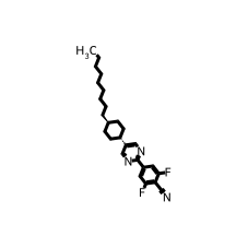 CCCCCCCCC[C@H]1CC[C@H](c2cnc(-c3cc(F)c(C#N)c(F)c3)nc2)CC1